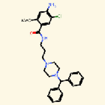 COc1cc(N)c(Cl)cc1C(=O)NCCCN1CCN(C(c2ccccc2)c2ccccc2)CC1